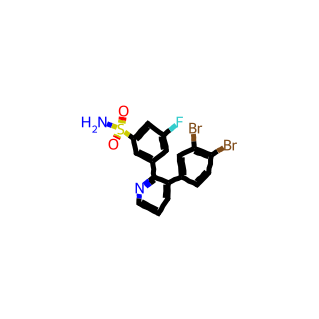 NS(=O)(=O)c1cc(F)cc(-c2ncccc2-c2ccc(Br)c(Br)c2)c1